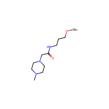 CN1CCN(CC(=O)NCCCOC(C)(C)C)CC1